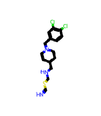 N=CSCNCC1CCN(Cc2ccc(Cl)c(Cl)c2)CC1